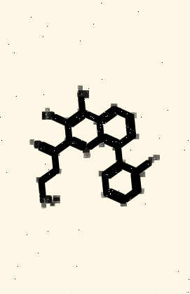 N#Cc1c(O)c(C(=O)CCC(=O)O)nc2c(-c3ccccc3F)cccc12